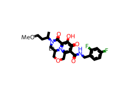 CCC12COCc3c(C(=O)NCc4ccc(F)cc4F)c(=O)c(O)c(n31)C(=O)N(C(C)CCOC)C2